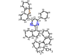 CC1(C)c2cccc(-c3ccc(-c4nc(-c5ccccc5)cc(-c5cccc6c5sc5ccccc56)n4)c4ccccc34)c2-c2c1ccc1ccccc21